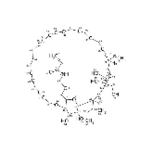 C=CC(=O)NCOCC1OC2C(O)C(O)C1OCCCCCCCCCCCCCCCCCCCCCC(I)(CC)C1OC(CO)C(OC2(CC)CCC)C(O)C1O